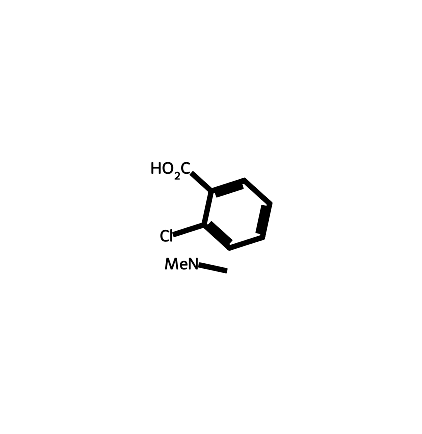 CNC.O=C(O)c1ccccc1Cl